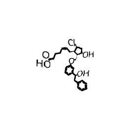 O=C(O)CCC/C=C\C[C@@H]1[C@@H](COc2cccc(C(O)Cc3ccccc3)c2)[C@H](O)C[C@@H]1Cl